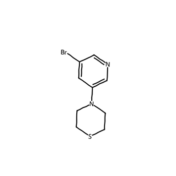 Brc1cncc(N2CCSCC2)c1